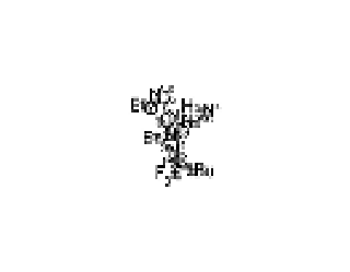 CCOc1ncccc1-c1ccc(N2CCN(C(=O)O[C@H](C(C)(C)C)C(F)(F)F)C[C@H]2CC)c(C(=O)NCC2CN(C)C2)n1